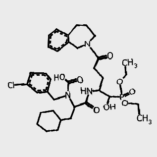 CCOP(=O)(OCC)C(O)C(CCC(=O)N1CCCc2ccccc2C1)NC(=O)C(CC1CCCCC1)N(Cc1cccc(Cl)c1)C(=O)O